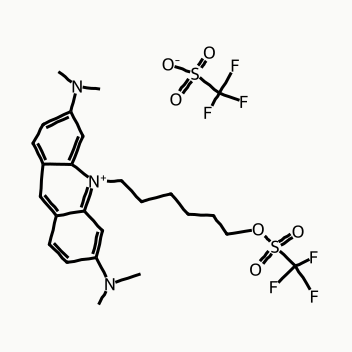 CN(C)c1ccc2cc3ccc(N(C)C)cc3[n+](CCCCCCOS(=O)(=O)C(F)(F)F)c2c1.O=S(=O)([O-])C(F)(F)F